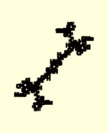 COC(=O)CC(NC(=O)[C@H](COCCOCCNC(=O)Nc1ccc(NC(=O)NCCOCCOC[C@H](NC(=O)CCCCN(C(=O)OC(C)(C)C)c2ccccn2)C(=O)NC(CC(=O)OC)c2cc(Cl)cc(Cl)c2)cc1)NC(=O)CCCCN(C(=O)OC(C)(C)C)c1ccccn1)c1cc(Cl)cc(Cl)c1